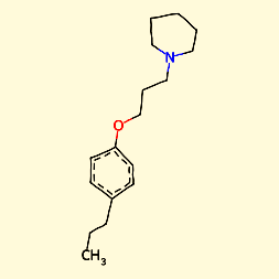 CCCc1ccc(OCCCN2CCCCC2)cc1